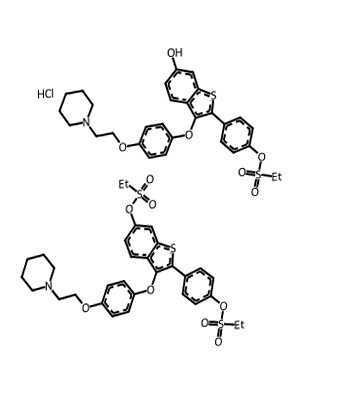 CCS(=O)(=O)Oc1ccc(-c2sc3cc(O)ccc3c2Oc2ccc(OCCN3CCCCC3)cc2)cc1.CCS(=O)(=O)Oc1ccc(-c2sc3cc(OS(=O)(=O)CC)ccc3c2Oc2ccc(OCCN3CCCCC3)cc2)cc1.Cl